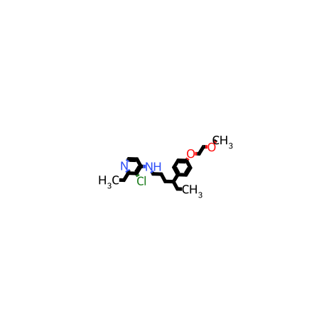 CCc1nccc(NCCCC(CC)c2ccc(OCCOC)cc2)c1Cl